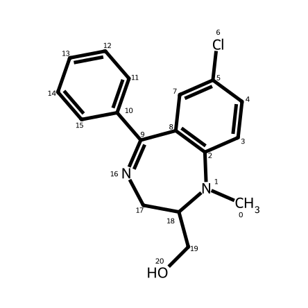 CN1c2ccc(Cl)cc2C(c2ccccc2)=NCC1CO